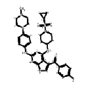 CN1CCN(c2ccc(Nc3nc(NC4CCN(S(=O)(=O)C5CC5)CC4)c4c(C(=O)c5ccc(F)cc5)c[nH]c4n3)cc2)CC1